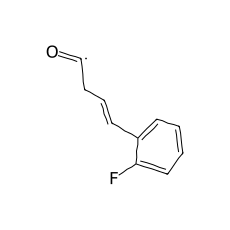 O=[C]C/C=C/c1ccccc1F